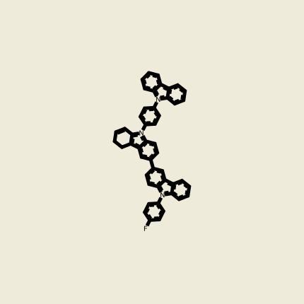 Fc1ccc(-n2c3ccccc3c3cc(-c4ccc5c(c4)c4c(n5-c5ccc(-n6c7ccccc7c7ccccc76)cc5)C=CCC4)ccc32)cc1